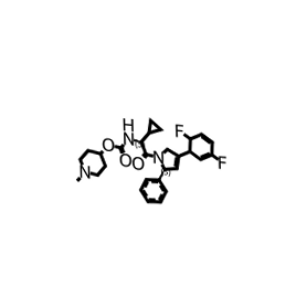 CN1CCC(OC(=O)N[C@H](C(=O)N2CC(C3C=C(F)C=CC3F)=C[C@H]2c2ccccc2)C2CC2)CC1